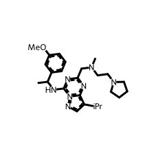 COc1cccc(C(C)Nc2nc(CN(C)CCN3CCCC3)nc3c(C(C)C)cnn23)c1